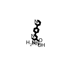 Nc1cnc(-c2ccc(-c3cccnc3)cc2)cc1C(=O)NO